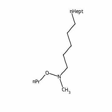 CCCCCCCCCCCCN(C)OCCC